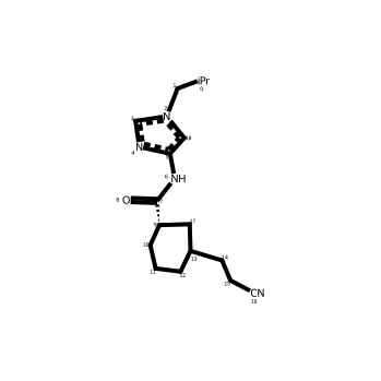 CC(C)Cn1cnc(NC(=O)[C@H]2CCCC(CCC#N)C2)c1